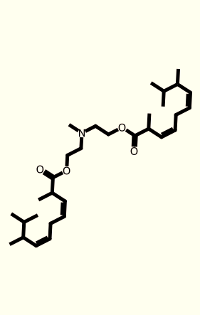 CC(/C=C\C/C=C\C(C)C(C)C)C(=O)OCCN(C)CCOC(=O)C(C)/C=C\C/C=C\C(C)C(C)C